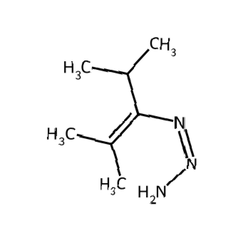 CC(C)=C(/N=N\N)C(C)C